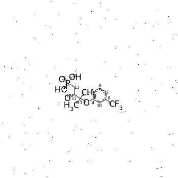 CC(C)(Oc1cccc(C(F)(F)F)c1)C(=O)CP(=O)(O)O